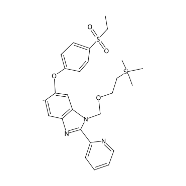 CCS(=O)(=O)c1ccc(Oc2[c]cc3nc(-c4ccccn4)n(COCC[Si](C)(C)C)c3c2)cc1